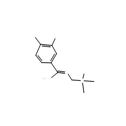 CS/C(=N\CS(C)(C)C)c1ccc(Br)c(Cl)c1